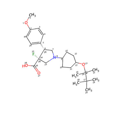 COc1ccc([C@@H]2CN(C3CCC(O[Si](C)(C)C(C)(C)C)CC3)C[C@@]2(F)C(=O)O)cc1